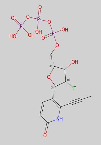 CC#Cc1[nH]c(=O)ccc1[C@@H]1O[C@H](COP(=O)(O)OP(=O)(O)OP(=O)(O)O)C(O)[C@@H]1F